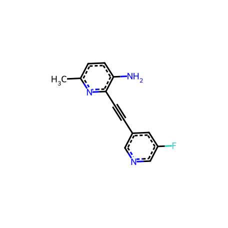 Cc1ccc(N)c(C#Cc2cncc(F)c2)n1